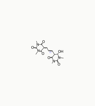 CN1C(=O)C(=C/C=C/C2C(=O)N(C)C(=O)N(C)C2O)C(=O)N(C)C1=O